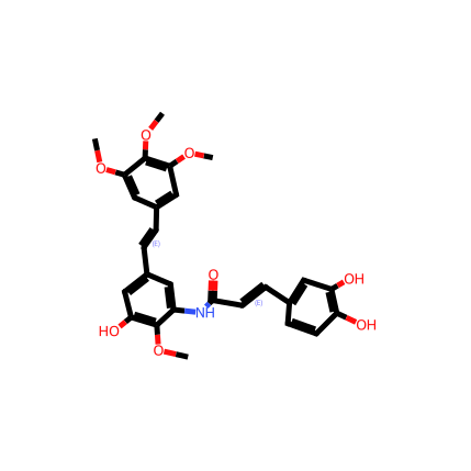 COc1cc(/C=C/c2cc(O)c(OC)c(NC(=O)/C=C/c3ccc(O)c(O)c3)c2)cc(OC)c1OC